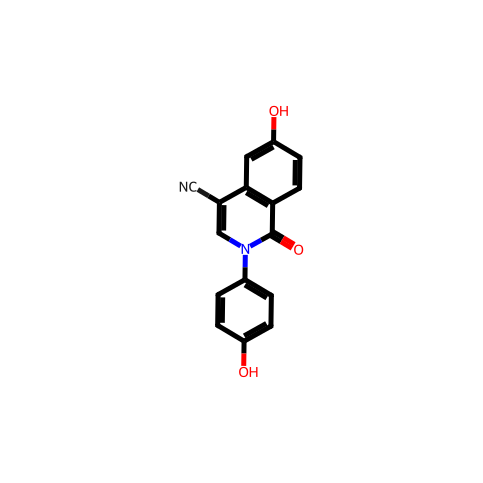 N#Cc1cn(-c2ccc(O)cc2)c(=O)c2ccc(O)cc12